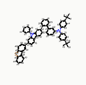 CC(C)(C)c1ccc(N(c2ccc(C(C)(C)C)cc2)c2cccc(-c3ccccc3-c3ccc4c5ccc(-c6ccc7sc8ccccc8c7c6)cc5n(-c5ccccc5)c4c3)c2)cc1